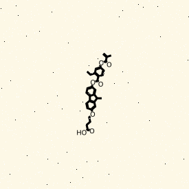 C=C(C)C(=O)Oc1ccc(C(=O)Oc2ccc3c(c2)C(C)c2cc(OCCCC(=O)O)ccc2-3)c(CC)c1